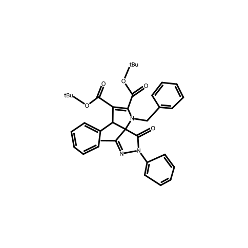 CC1=NN(c2ccccc2)C(=O)C12C(c1ccccc1)C(C(=O)OC(C)(C)C)=C(C(=O)OC(C)(C)C)N2Cc1ccccc1